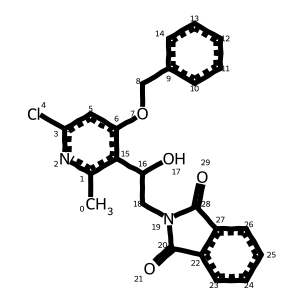 Cc1nc(Cl)cc(OCc2ccccc2)c1C(O)CN1C(=O)c2ccccc2C1=O